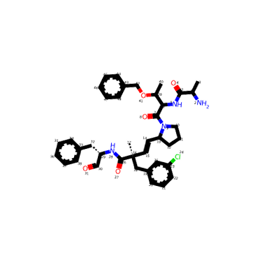 CC(N)C(=O)NC(C(=O)N1CCCC1/C=C/[C@@](C)(Cc1cccc(Cl)c1)C(=O)N[C@H](C=O)Cc1ccccc1)C(C)OCc1ccccc1